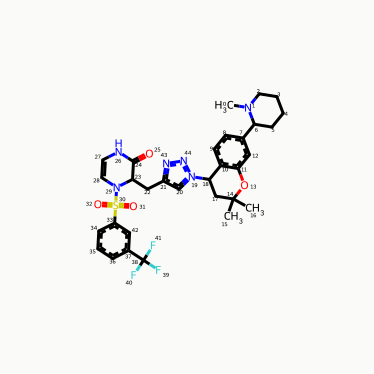 CN1CCCCC1c1ccc2c(c1)OC(C)(C)CC2n1cc(CC2C(=O)NC=CN2S(=O)(=O)c2cccc(C(F)(F)F)c2)nn1